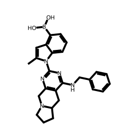 Cc1cc2c(B(O)O)cccc2n1-c1nc2c(c(NCc3ccccc3)n1)CC1CCCN1C2